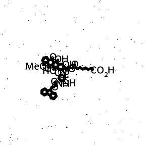 COc1cccc2c1C(=O)c1c(O)c3c(c(O)c1C2=O)C[C@@](O)(C(=O)COC(=O)CCCCCCC(=O)O)C[C@@H]3O[C@H]1C[C@H](NC(=O)OCC2c3ccccc3-c3ccccc32)[C@H](O)[C@H](C)O1